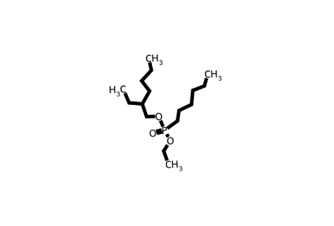 CCCCCCP(=O)(OCC)OCC(CC)CCCC